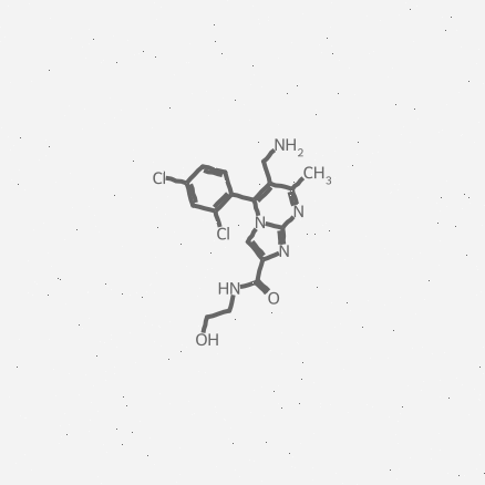 Cc1nc2nc(C(=O)NCCO)cn2c(-c2ccc(Cl)cc2Cl)c1CN